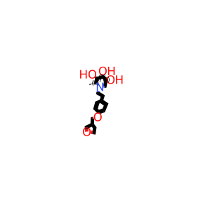 C[C@@H]1[C@@H](O)[C@H](O)[C@@H](O)CN1CCc1ccc(OCC2CCOC2)cc1